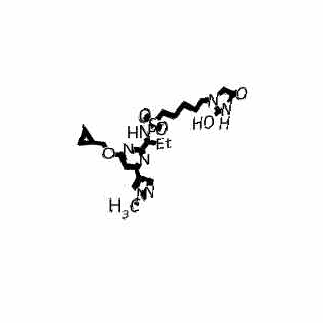 CCC(NS(=O)(=O)CCCCCN1CC(=O)NC1O)c1nc(OCC2CC2)cc(-c2cnn(C)c2)n1